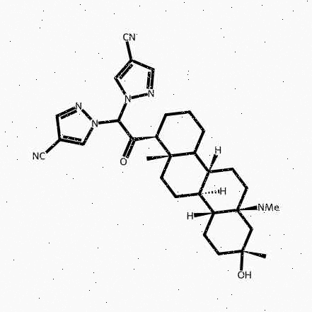 CN[C@]12CC[C@H]3C4CCC[C@H](C(=O)C(n5cc(C#N)cn5)n5cc(C#N)cn5)[C@@]4(C)CC[C@@H]3[C@H]1CC[C@@](C)(O)C2